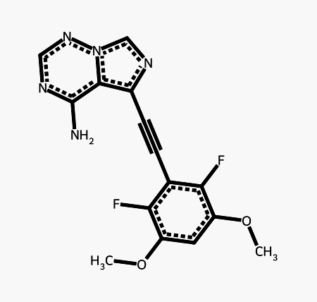 COc1cc(OC)c(F)c(C#Cc2ncn3ncnc(N)c23)c1F